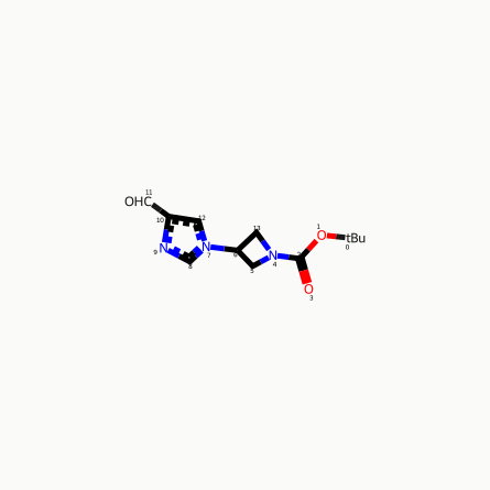 CC(C)(C)OC(=O)N1CC(n2cnc(C=O)c2)C1